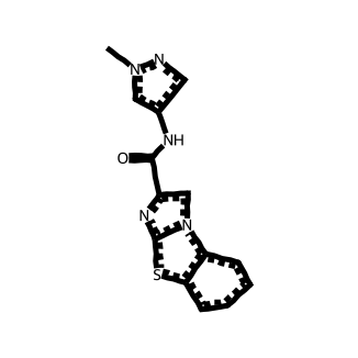 Cn1cc(NC(=O)c2cn3c(n2)sc2ccccc23)cn1